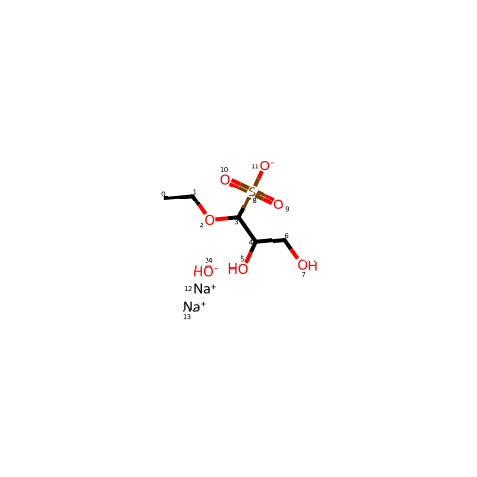 CCOC(C(O)CO)S(=O)(=O)[O-].[Na+].[Na+].[OH-]